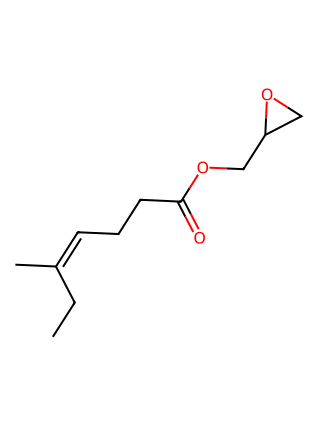 CCC(C)=CCCC(=O)OCC1CO1